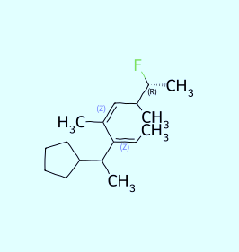 C/C=C(\C(C)=C/C(C)[C@@H](C)F)C(C)C1CCCC1